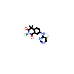 CC1(C)C(=O)N(Cl)C(=O)c2cc(Nc3ncncc3F)ccc21